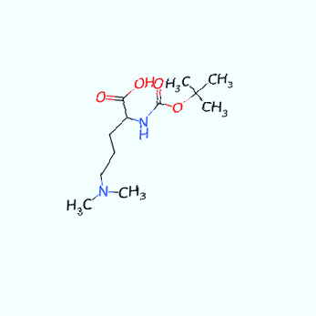 CN(C)CCCC(NC(=O)OC(C)(C)C)C(=O)O